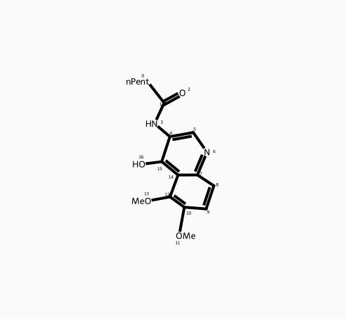 CCCCCC(=O)Nc1cnc2ccc(OC)c(OC)c2c1O